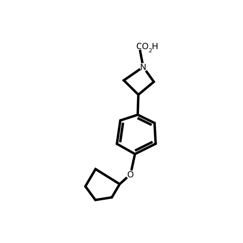 O=C(O)N1CC(c2ccc(OC3CCCC3)cc2)C1